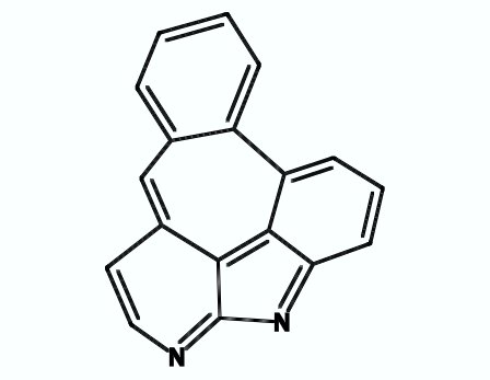 c1ccc2c(c1)cc1ccnc3nc4cccc2c4=c13